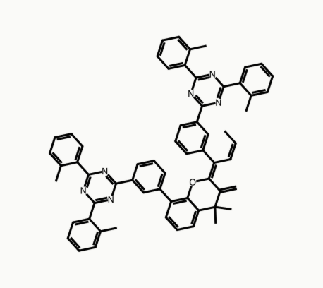 C=C1/C(=C(\C=C/C)c2cccc(-c3nc(-c4ccccc4C)nc(-c4ccccc4C)n3)c2)Oc2c(-c3cccc(-c4nc(-c5ccccc5C)nc(-c5ccccc5C)n4)c3)cccc2C1(C)C